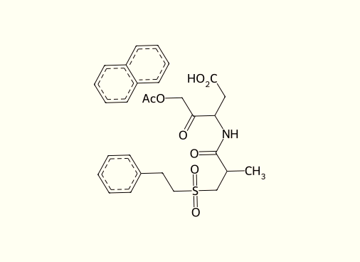 CC(=O)OCC(=O)C(CC(=O)O)NC(=O)C(C)CS(=O)(=O)CCc1ccccc1.c1ccc2ccccc2c1